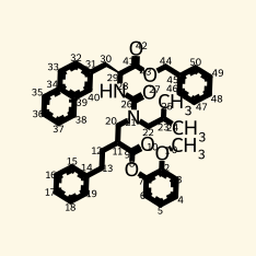 COc1ccccc1OC(=O)C(CCc1ccccc1)CN(CC(C)C)C(=O)N[C@@H](Cc1ccc2ccccc2c1)C(=O)OCc1ccccc1